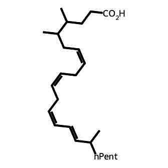 CCCCCC(C)/C=C/C=C\C/C=C\C/C=C\CC(C)C(C)CCC(=O)O